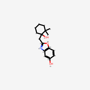 CC1(C)CCCCC1(O)Cc1nc2cc(O)ccc2o1